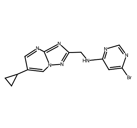 Brc1cc(NCc2nc3ncc(C4CC4)cn3n2)ncn1